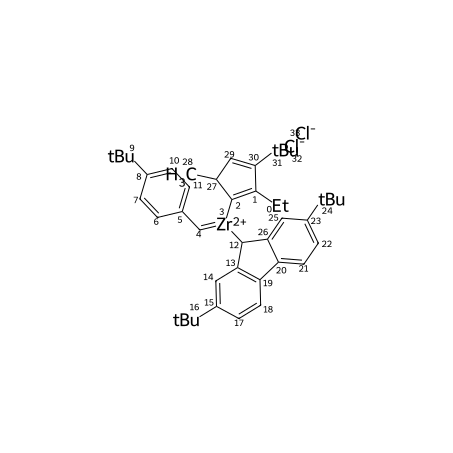 CCC1=[C](/[Zr+2](=[CH]\c2ccc(C(C)(C)C)cc2)[CH]2c3cc(C(C)(C)C)ccc3-c3ccc(C(C)(C)C)cc32)C(C)C=C1C(C)(C)C.[Cl-].[Cl-]